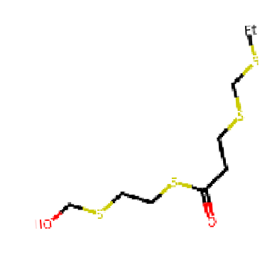 CCSCSCCC(=O)SCCSCO